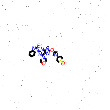 CCc1nc2ccccc2n1-c1nc(N2CCOCC2)c2nc(OC3CN([C@H]4CC[S@+]([O-])CC4)C3)n(C)c2n1